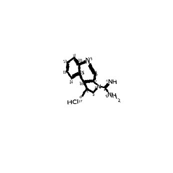 CC1CN(C(=N)N)c2cnc3ccccc3c21.Cl